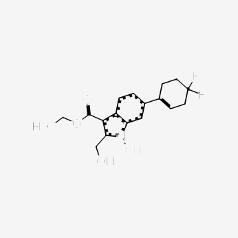 CCOC(=O)c1c(CO)n(C)c2cc(C3=CCC(F)(F)CC3)ccc12